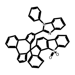 O=S1(=O)c2ccccc2-c2ccc3c(c21)-c1ccccc1C31c2ccccc2-c2ccccc2-c2ccc(-c3nc4ccccc4n3-c3ccccc3)cc21